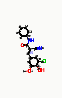 COc1cc(/C=C(\C#N)C(=O)Nc2ccccc2)cc(Cl)c1O